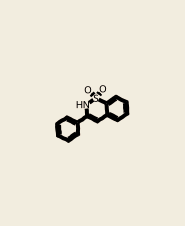 O=S1(=O)NC(c2ccccc2)=Cc2ccccc21